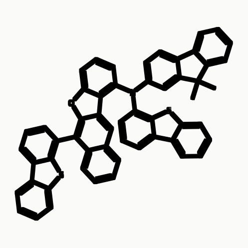 CC1(C)c2ccccc2-c2ccc(N(c3cccc4c3sc3ccccc34)c3cccc4oc5c(-c6cccc7c6sc6ccccc67)c6ccccc6cc5c34)cc21